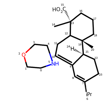 C1COCCN1.CC(C)C1=CC2=CCC3[C@](C)(C(=O)O)CCC[C@]3(C)[C@H]2CC1